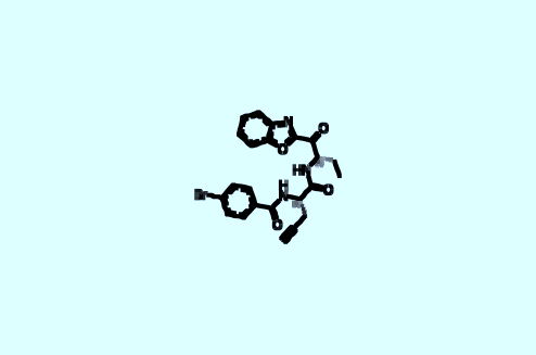 C#CC[C@H](NC(=O)c1ccc(Br)cc1)C(=O)N[C@@H](CC)C(=O)c1nc2ccccc2o1